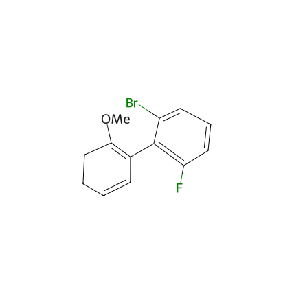 COC1=C(c2c(F)cccc2Br)C=CCC1